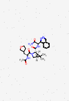 CC1(C)[C@@H]2[C@@H](C(=O)NC(C(N)=O)c3nncc4ccccc34)N(C(=O)[C@H](CC3CCOC3)NC(=O)C(F)(F)F)C[C@@H]21